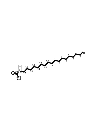 CCCCCCCCCCCCCCCCCCNC(=O)Cl